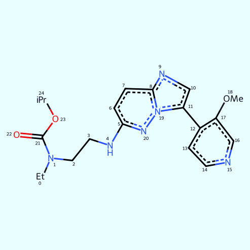 CCN(CCNc1ccc2ncc(-c3ccncc3OC)n2n1)C(=O)OC(C)C